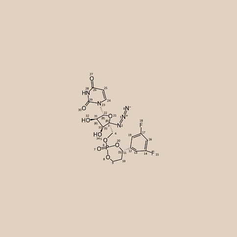 [N-]=[N+]=N[C@]1(COP2(=O)OCC[C@@H](c3cc(F)cc(F)c3)O2)O[C@@H](n2ccc(=O)[nH]c2=O)[C@H](O)[C@@H]1O